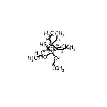 CCO[Si](OCC)(OCC)[C@@](C)(S)[Si](CC)(CC)CC